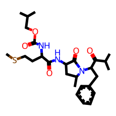 CSCCC(NC(=O)OCC(C)C)C(=O)NC1CC(C)N(C(Cc2ccccc2)C(=O)C(C)C)C1=O